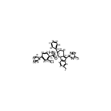 Cc1ccc2c(c1)c(-c1noc(C)n1)c1n2C[C@@](NC(=O)c2ccc(-n3cnnc3)cc2Cl)(c2ccccc2)CC1